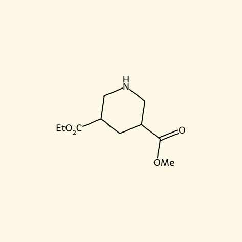 CCOC(=O)C1CNCC(C(=O)OC)C1